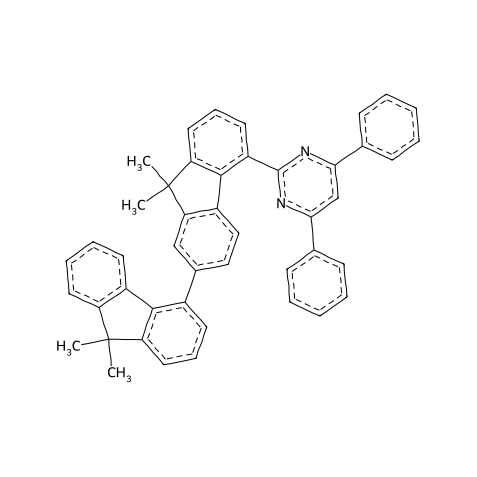 CC1(C)c2ccccc2-c2c(-c3ccc4c(c3)C(C)(C)c3cccc(-c5nc(-c6ccccc6)cc(-c6ccccc6)n5)c3-4)cccc21